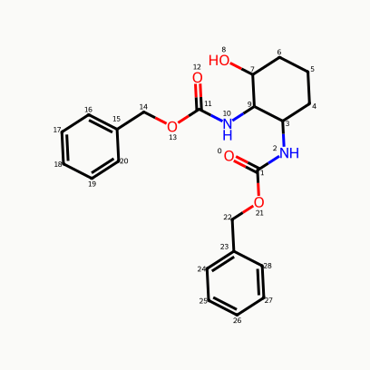 O=C(NC1CCCC(O)C1NC(=O)OCc1ccccc1)OCc1ccccc1